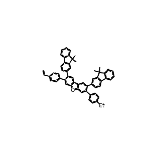 C=Cc1ccc(-c2cc3oc4cc(-c5ccc(CC)cc5)c(-c5ccc6c(c5)C(C)(C)c5ccccc5-6)cc4c3cc2-c2ccc3c(c2)C(C)(C)c2ccccc2-3)cc1